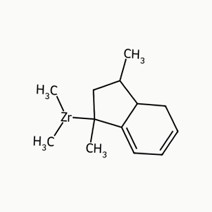 CC1C[C](C)([Zr]([CH3])[CH3])C2=CC=CCC21